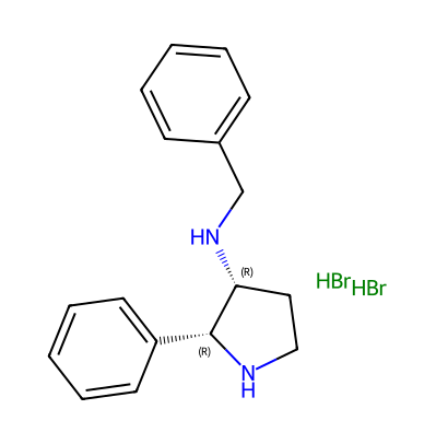 Br.Br.c1ccc(CN[C@@H]2CCN[C@@H]2c2ccccc2)cc1